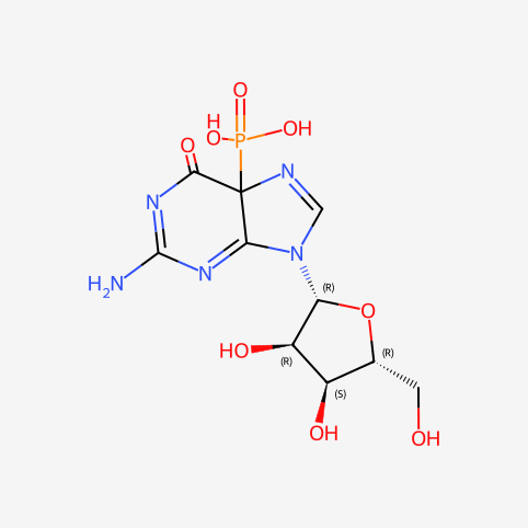 NC1=NC(=O)C2(P(=O)(O)O)N=CN([C@@H]3O[C@H](CO)[C@@H](O)[C@H]3O)C2=N1